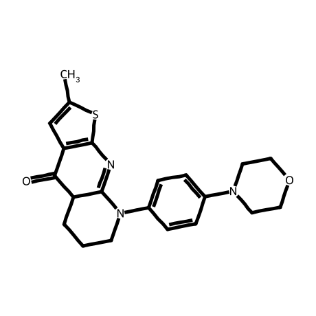 Cc1cc2c(s1)N=C1C(CCCN1c1ccc(N3CCOCC3)cc1)C2=O